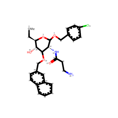 COC[C@H]1OC(OCc2ccc(Cl)cc2)[C@H](NC(=O)CCN)C(OCc2ccc3ccccc3c2)[C@@H]1O